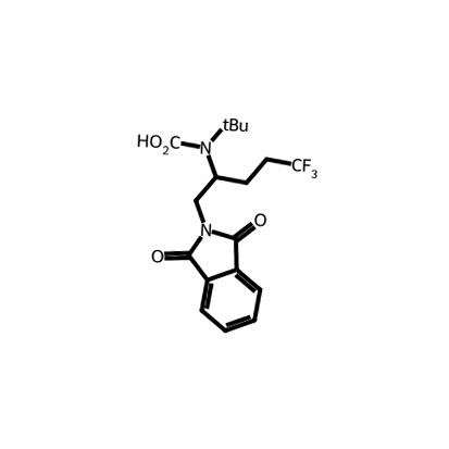 CC(C)(C)N(C(=O)O)C(CCC(F)(F)F)CN1C(=O)c2ccccc2C1=O